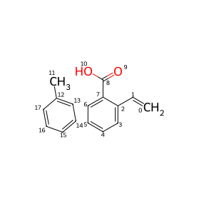 C=Cc1ccccc1C(=O)O.Cc1ccccc1